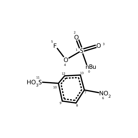 CCCCS(=O)(=O)OF.O=[N+]([O-])c1ccc(S(=O)(=O)O)cc1